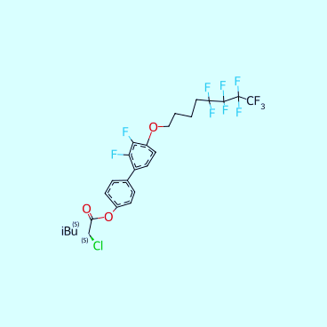 CC[C@H](C)[C@H](Cl)C(=O)Oc1ccc(-c2ccc(OCCCCC(F)(F)C(F)(F)C(F)(F)C(F)(F)F)c(F)c2F)cc1